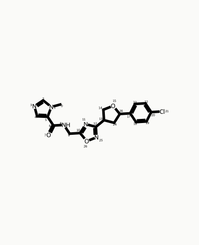 Cn1cncc1C(=O)NCc1nc(C2COC(c3ccc(Cl)cc3)C2)no1